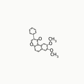 COc1cc2ccc3occ(-c4ccccc4)c(=O)c3c2cc1OC